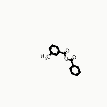 Cc1cccc(C(=O)OC(=O)c2ccccc2)c1